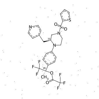 C[C@@](OC(=O)C(F)(F)F)(c1ccc(N2CCN(S(=O)(=O)c3cccs3)C[C@@H]2Cc2ccncc2)cc1)C(F)(F)F